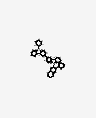 c1ccc(-c2cc3ccccc3cc2-n2c3ccccc3c3cc(-c4ccc5c(c4)c4ccccc4n5-c4ccccc4)ccc32)cc1